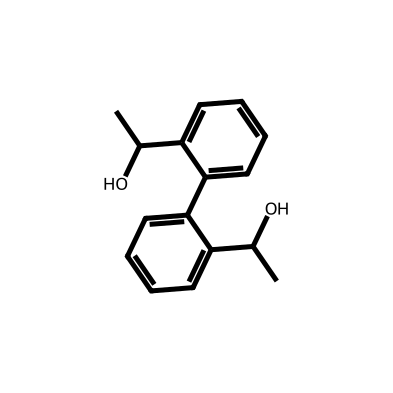 CC(O)c1ccccc1-c1ccccc1C(C)O